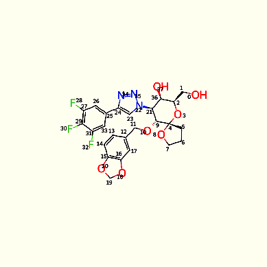 OC[C@H]1O[C@@]2(CCCO2)[C@H](OCc2ccc3c(c2)OCO3)[C@@H](n2cc(-c3cc(F)c(F)c(F)c3)nn2)[C@H]1O